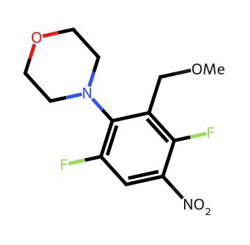 COCc1c(F)c([N+](=O)[O-])cc(F)c1N1CCOCC1